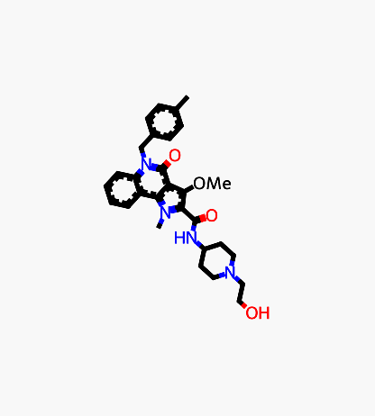 COc1c(C(=O)NC2CCN(CCO)CC2)n(C)c2c1c(=O)n(Cc1ccc(C)cc1)c1ccccc21